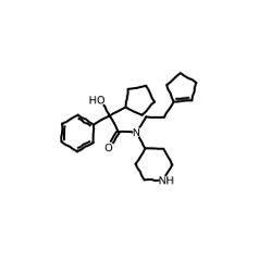 O=C(N(CCC1=CCCC1)C1CCNCC1)C(O)(c1ccccc1)C1CCCC1